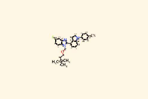 C[Si](C)(C)CCOCn1c(-c2cccc3c2ccn3-c2ccc(C#N)cc2)nc2cc(F)ccc21